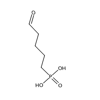 O=CCCCCP(=O)(O)O